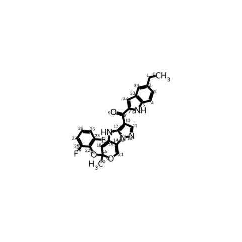 CCc1ccc2[nH]c(C(=O)c3cnn4c5c([nH]c34)=CC(C)(Oc3c(F)cccc3F)OC=5)cc2c1